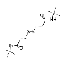 CC(C)(C)NC(=O)CCSSCCC(=O)NC(C)(C)C